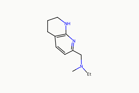 CCN(C)Cc1ccc2c(n1)NCCC2